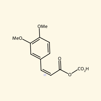 COc1ccc(/C=C\C(=O)OC(=O)O)cc1OC